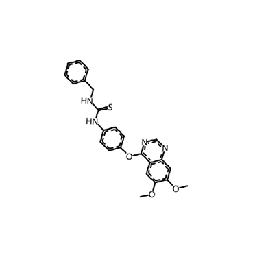 COc1cc2ncnc(Oc3ccc(NC(=S)NCc4ccccc4)cc3)c2cc1OC